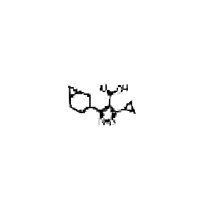 O=C(O)c1c(C2CCC3CC3C2)noc1C1CC1